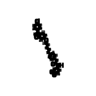 O=C(CN1CCN(CCCCCOc2ccc3c(-c4ccc(Cl)cc4)coc3c2)CC1)NC1CCS(=O)(=O)C1